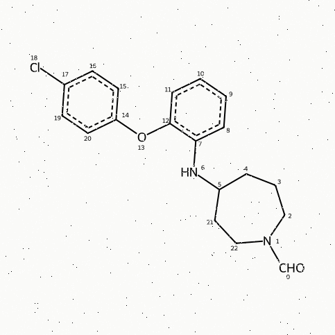 O=CN1CCCC(Nc2ccccc2Oc2ccc(Cl)cc2)CC1